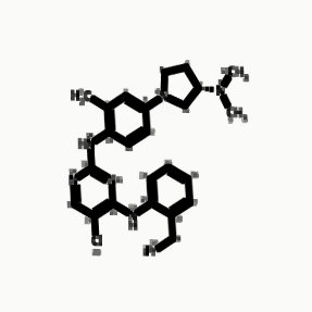 Cc1cc(N2CC[C@H](N(C)C)C2)ccc1Nc1ncc(Cl)c(Nc2ccccc2CC(C)C)n1